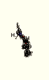 CCCCCCOC(=O)/N=C(\N)c1ccc(NCc2nc3cc(C(=O)N(CCC(=O)Oc4ccccc4OC(C)C)c4ccccn4)ccc3n2C)cc1